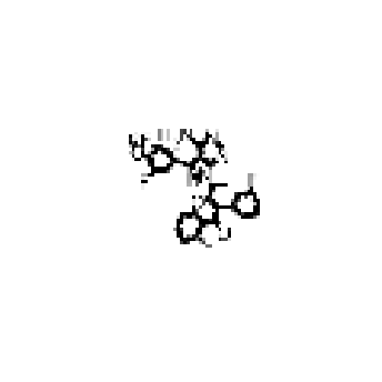 CC(c1oc2cccc(F)c2c(=O)c1-c1cccc(F)c1)n1nc(-c2ccc(OC(F)(F)F)c(F)c2)c2c(N)ncnc21